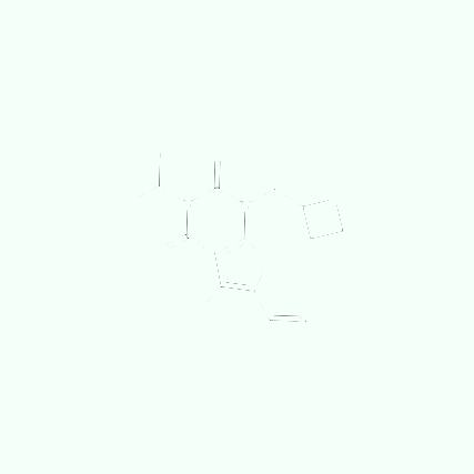 Cc1c(C=N)sc2c1c(=O)n(C(C)C)c(=O)n2CC1CCO1